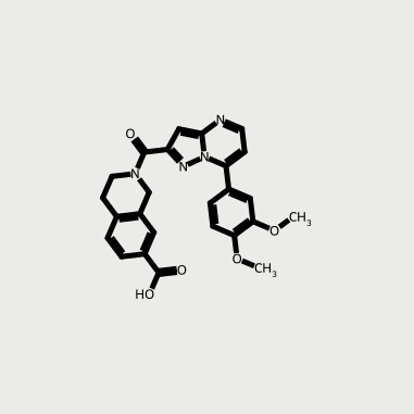 COc1ccc(-c2ccnc3cc(C(=O)N4CCc5ccc(C(=O)O)cc5C4)nn23)cc1OC